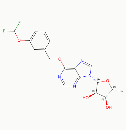 C[C@H]1O[C@@H](n2cnc3c(OCc4cccc(OC(F)F)c4)ncnc32)[C@H](O)[C@@H]1O